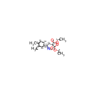 CCOC(=O)C1(C(=O)OCC)CC(c2ccc(C)c(C)c2)=NO1